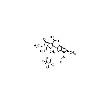 C[C@@H](O)[C@H]1C(=O)N2C(C(=O)O)=C(c3c[n+]4cn(C)c(SCF)c4s3)[C@H](C)[C@H]12.O=S(=O)([O-])C(F)(F)F